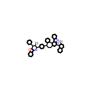 CCc1ccc2ccccc2c1-c1cc2c(c3c1[nH]c1ccccc13)-c1ccccc1C(c1ccc(C3=Nc4c(oc5ccccc45)C(c4ccccc4)C3CC)cc1)CC2